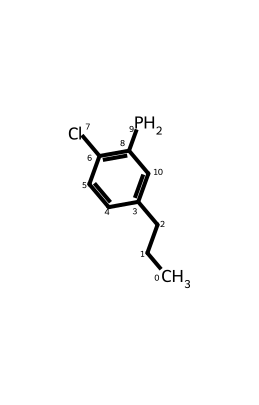 CCCc1ccc(Cl)c(P)c1